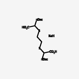 CCCCCCCCCCC(SCCSC(CCCCCCCCCC)C(=O)O)C(=O)O.[NaH]